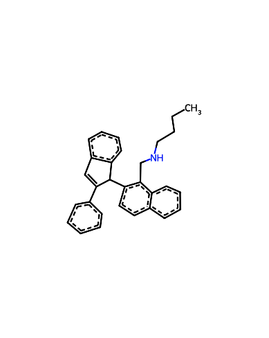 CCCCNCc1c(C2C(c3ccccc3)=Cc3ccccc32)ccc2ccccc12